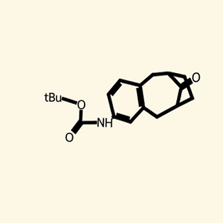 CC(C)(C)OC(=O)Nc1ccc2c(c1)CC1CCC(C2)C1=O